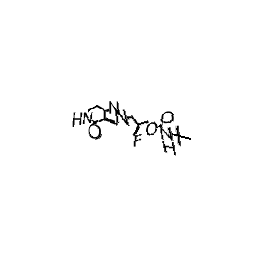 CC(C)(C)NC(=O)OCC(=CF)Cn1cc2c(n1)CCNC2=O